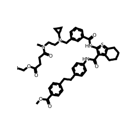 COC(=O)c1ccc(CCc2ccc(NC(=O)c3c(NC(=O)c4cccc(CN(CCN(C)C(=O)CCC(=O)OCI)C5CC5)c4)sc4c3CCCC4)cc2)cc1